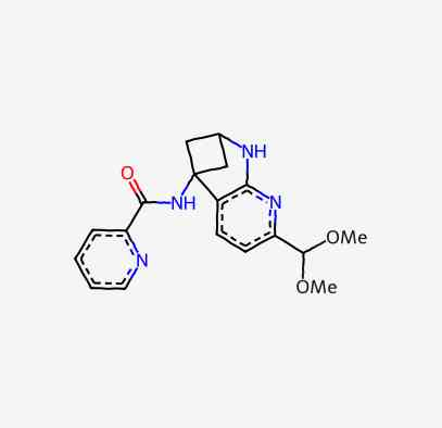 COC(OC)c1ccc2c(n1)NC1CC2(NC(=O)c2ccccn2)C1